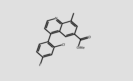 COC(=O)c1cc(C)c2nccc(-c3ccc(F)cc3Cl)c2c1